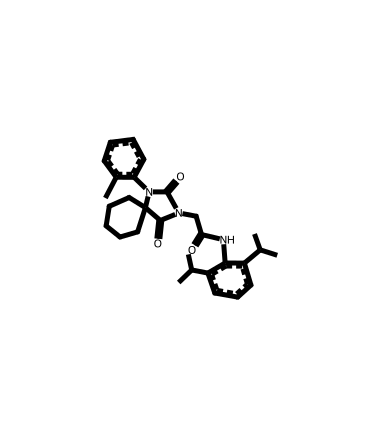 Cc1ccccc1N1C(=O)N(CC(=O)Nc2c(C(C)C)cccc2C(C)C)C(=O)C12CCCCC2